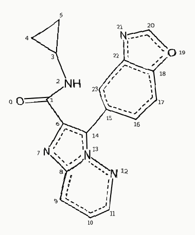 O=C(NC1CC1)c1nc2cccnn2c1-c1ccc2ocnc2c1